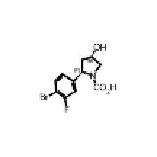 O=C(O)N1C[C@H](O)C[C@@H]1c1ccc(Br)c(F)c1